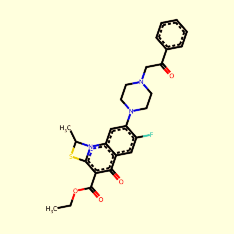 CCOC(=O)c1c2n(c3cc(N4CCN(CC(=O)c5ccccc5)CC4)c(F)cc3c1=O)C(C)S2